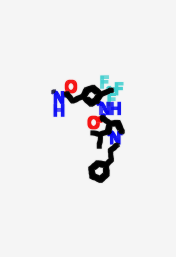 CNC(=O)Cc1ccc(C(F)(F)F)c(NC(=O)c2ccn(CCCc3ccccc3)c2C(C)C)c1